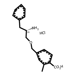 Cc1cc(COC[C@@H](N)Cc2ccccc2)ccc1C(=O)O.Cl